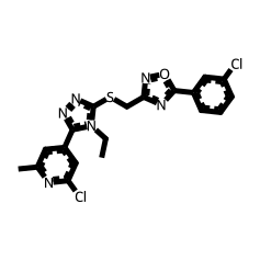 CCn1c(SCc2noc(-c3cccc(Cl)c3)n2)nnc1-c1cc(C)nc(Cl)c1